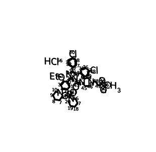 CCOc1cc(N2CCCCC2)c(S(=O)(=O)N2CCCCC2)cc1C1=N[C@@H](c2ccc(Cl)cc2)[C@@H](c2ccc(Cl)cc2)N1C(=O)N1CCN(CCS(C)(=O)=O)CC1.Cl